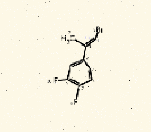 C/C(=C\Br)c1ccc(F)c(F)c1